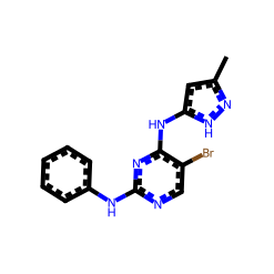 Cc1cc(Nc2nc(Nc3ccccc3)ncc2Br)[nH]n1